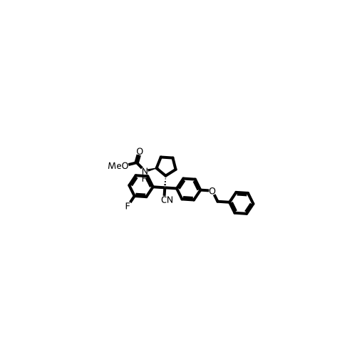 COC(=O)N[C@H]1CCC[C@@H]1C(C#N)(c1ccc(OCc2ccccc2)cc1)c1cccc(F)c1